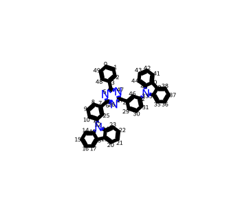 c1ccc(-c2nc(-c3cccc(-n4c5ccccc5c5ccccc54)c3)nc(-c3cccc(-n4c5ccccc5c5ccccc54)c3)n2)cc1